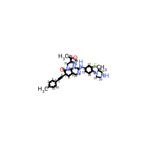 Cc1ccc(C#Cc2cc3cnc(Nc4ccc(N5CCNCC5C)c(F)c4)nc3n(Cc3ncoc3C)c2=O)cc1